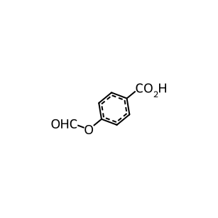 O=COc1ccc(C(=O)O)cc1